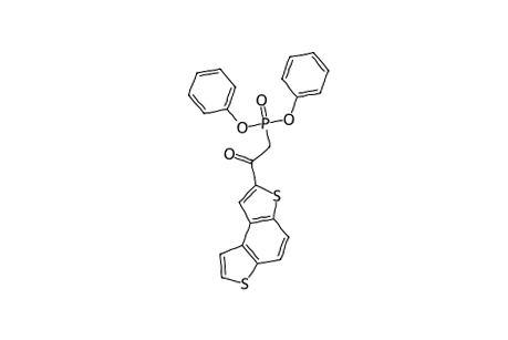 O=C(CP(=O)(Oc1ccccc1)Oc1ccccc1)c1cc2c(ccc3sccc32)s1